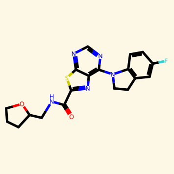 O=C(NCC1CCCO1)c1nc2c(N3CCc4cc(F)ccc43)ncnc2s1